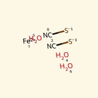 N#C[S-].N#C[S-].O.O.O.[Fe+2]